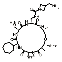 CCCCCC[C@H]1OC[C@@H](C)NC(=O)[C@H](CNC(=O)N2CC(CN)C2)NC(=O)[C@H](CN)NC(=O)[C@H](C2CCCCCC2)NC(=O)[C@H](CCC)N(C)C(=O)[C@@H]1C